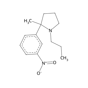 CCCN1CCCC1(C)c1cccc([N+](=O)[O-])c1